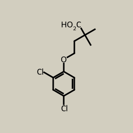 CC(C)(CCOc1ccc(Cl)cc1Cl)C(=O)O